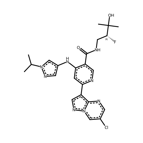 CC(C)n1cc(Nc2cc(-c3cnn4cc(Cl)cnc34)ncc2C(=O)NC[C@@H](F)C(C)(C)O)cn1